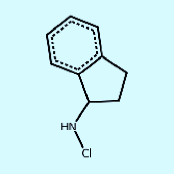 ClNC1CCc2ccccc21